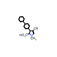 CN1C=C(C#N)C(c2ccc(-c3ccccc3)cc2)C1C(=O)O